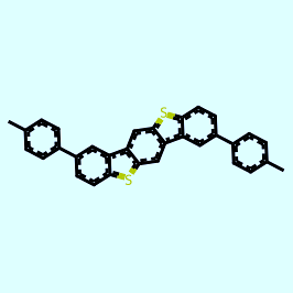 Cc1ccc(-c2ccc3sc4cc5c(cc4c3c2)sc2ccc(-c3ccc(C)cc3)cc25)cc1